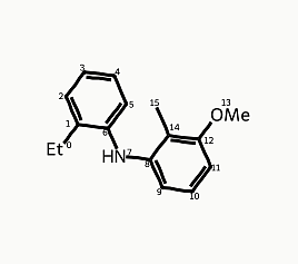 CCc1ccccc1Nc1cccc(OC)c1C